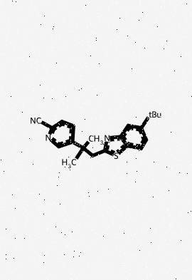 CC(C)(C)c1ccc2sc(CC(C)(C)c3ccc(C#N)nc3)nc2c1